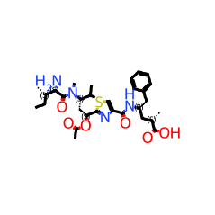 CC[C@H](C)[C@H](N)C(=O)N(C)[C@@H](C[C@H](OC(C)=O)c1nc(C(=O)N[C@@H](Cc2ccccc2)C[C@H](C)C(=O)O)cs1)C(C)C